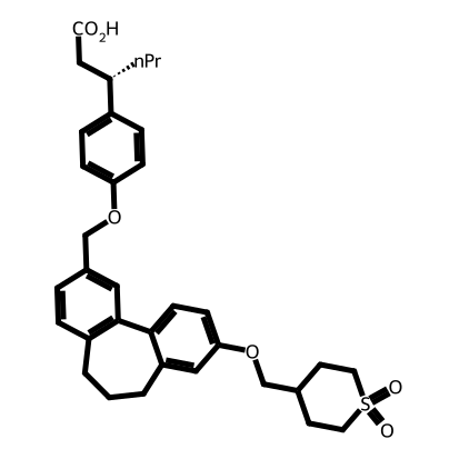 CCC[C@@H](CC(=O)O)c1ccc(OCc2ccc3c(c2)-c2ccc(OCC4CCS(=O)(=O)CC4)cc2CCC3)cc1